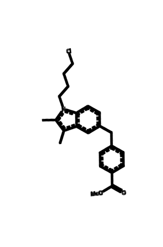 COC(=O)c1ccc(Cc2ccc3c(c2)c(C)c(C)n3CCCCCl)cc1